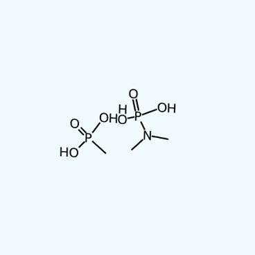 CN(C)P(=O)(O)O.CP(=O)(O)O